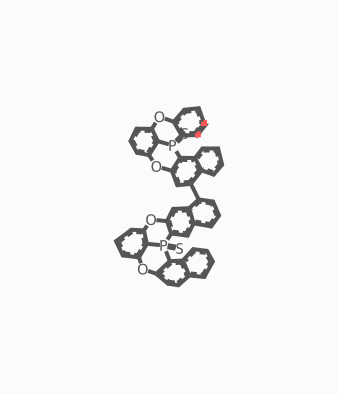 S=P12c3cc4cccc(-c5cc6c(c7ccccc57)P5(=S)c7c(cccc7O6)Oc6ccc7ccccc7c65)c4cc3Oc3cccc(c31)Oc1ccc3ccccc3c12